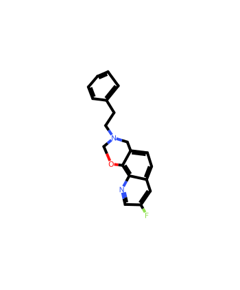 Fc1cnc2c3c(ccc2c1)CN(CCc1ccccc1)CO3